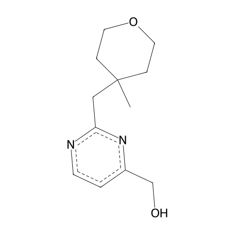 CC1(Cc2nccc(CO)n2)CCOCC1